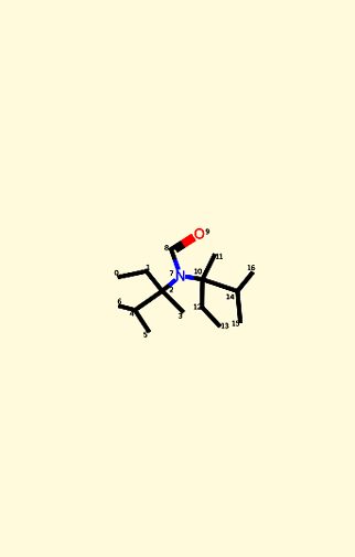 CCC(C)(C(C)C)N([C]=O)C(C)(CC)C(C)C